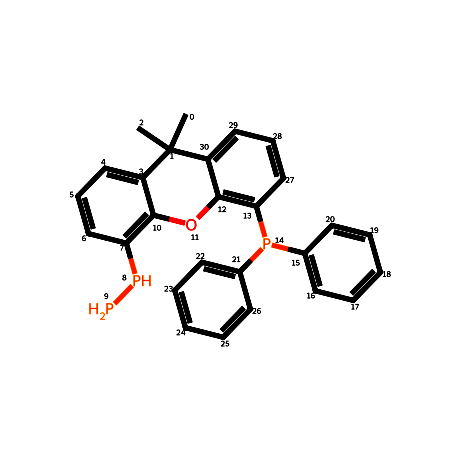 CC1(C)c2cccc(PP)c2Oc2c(P(c3ccccc3)c3ccccc3)cccc21